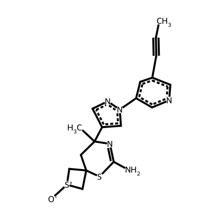 CC#Cc1cncc(-n2cc(C3(C)CC4(C[S+]([O-])C4)SC(N)=N3)cn2)c1